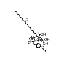 CCCCCCCC(=O)CCCCCC/C=C/[C@H](C(=O)N[C@@H](Cc1ccc(OCCC)cc1)C(=O)O)[C@@](O)(COC(O)O)C(=O)O